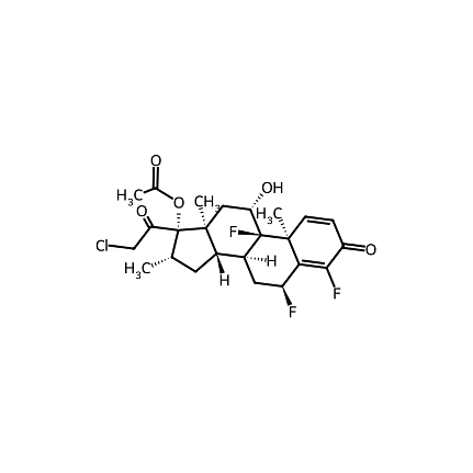 CC(=O)O[C@@]1(C(=O)CCl)[C@@H](C)C[C@H]2[C@@H]3C[C@H](F)C4=C(F)C(=O)C=C[C@]4(C)[C@@]3(F)[C@@H](O)C[C@@]21C